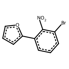 O=[N+]([O-])c1c(Br)cccc1-c1ccco1